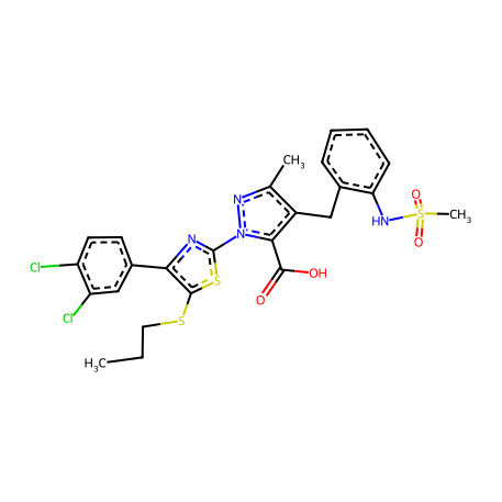 CCCSc1sc(-n2nc(C)c(Cc3ccccc3NS(C)(=O)=O)c2C(=O)O)nc1-c1ccc(Cl)c(Cl)c1